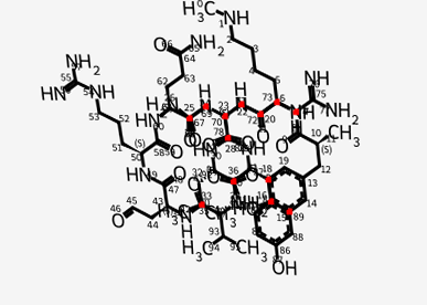 CNCCCCC(NC(=O)[C@@H](C)Cc1ccc(O)cc1)C(=O)N[C@@H](CC(N)=O)C(=O)N[C@@H](CC(C)C)C(=O)N[C@H](C(=O)N[C@@H](CC=O)C(=O)N[C@@H](CCCNC(=N)N)C(=O)N[C@@H](CCC(N)=O)C(=O)N[C@@H](CCCNC(=N)N)C(=O)N[C@@H](Cc1ccc(O)cc1)C(N)=O)C(C)C